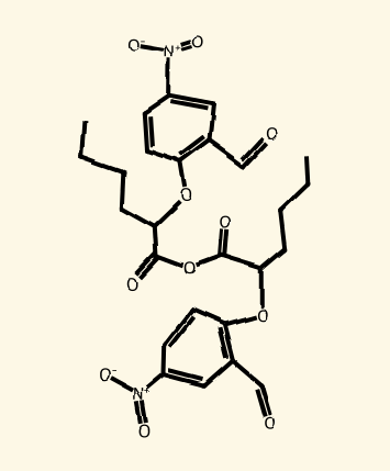 CCCCC(Oc1ccc([N+](=O)[O-])cc1C=O)C(=O)OC(=O)C(CCCC)Oc1ccc([N+](=O)[O-])cc1C=O